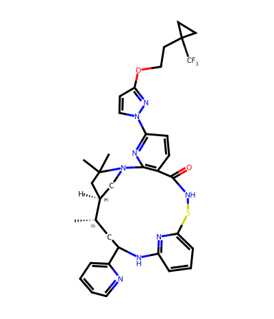 C[C@H]1CC(c2ccccn2)Nc2cccc(n2)SNC(=O)c2ccc(-n3ccc(OCCC4(C(F)(F)F)CC4)n3)nc2N2C[C@@H]1CC2(C)C